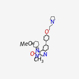 CO[C@H]1CCC[C@H](n2c(=O)n(C)c3cnc4ccc(-c5ccc(OCCCN6CCCC6)cc5)cc4c32)C1